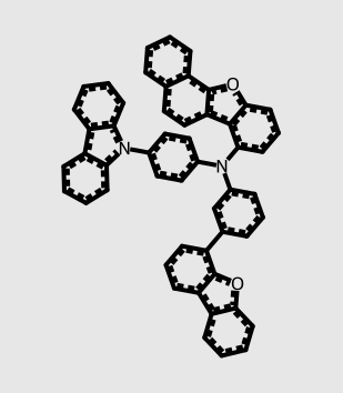 c1cc(-c2cccc3c2oc2ccccc23)cc(N(c2ccc(-n3c4ccccc4c4ccccc43)cc2)c2cccc3oc4c5ccccc5ccc4c23)c1